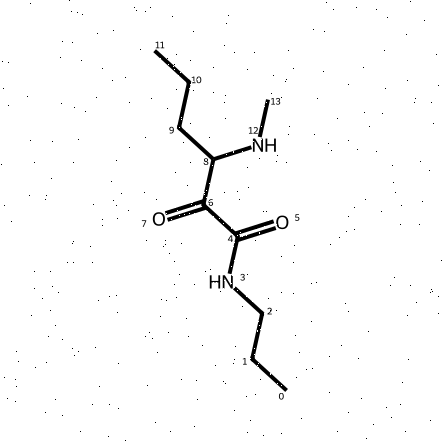 CCCNC(=O)C(=O)C(CCC)NC